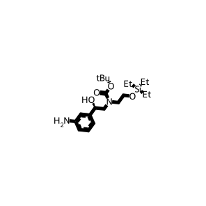 CC[Si](CC)(CC)OCCN(C[C@H](O)c1cccc(N)c1)C(=O)OC(C)(C)C